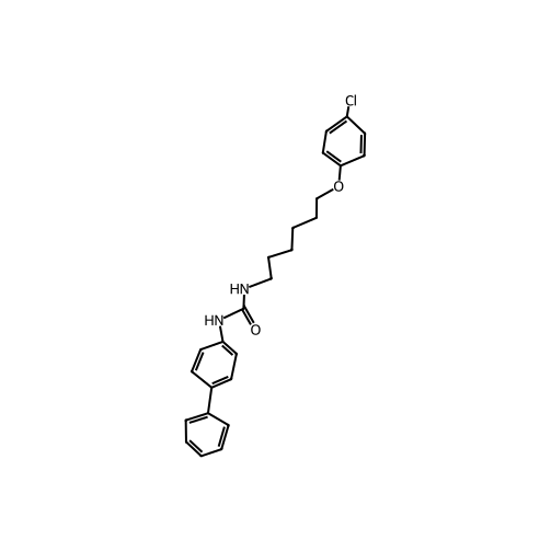 O=C(NCCCCCCOc1ccc(Cl)cc1)Nc1ccc(-c2ccccc2)cc1